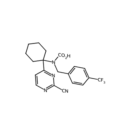 N#Cc1nccc(C2(N(Cc3ccc(C(F)(F)F)cc3)C(=O)O)CCCCC2)n1